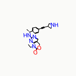 CCN1C(=O)OCc2cnc(N[C@@H](C)c3ccc(C#CC4CNC4)cc3)nc21